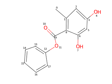 Cc1cc(O)cc(O)c1C(=O)Oc1ccccc1